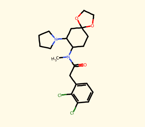 CN(C(=O)Cc1cccc(Cl)c1Cl)C1CCC2(CC1N1CCCC1)OCCO2